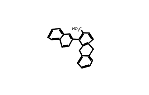 O=C(O)c1ccc2c(c1-c1ccc3ccccc3c1)Cc1ccccc1C2